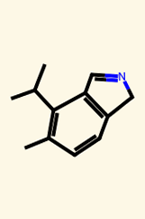 Cc1ccc2c(c1C(C)C)C=NC2